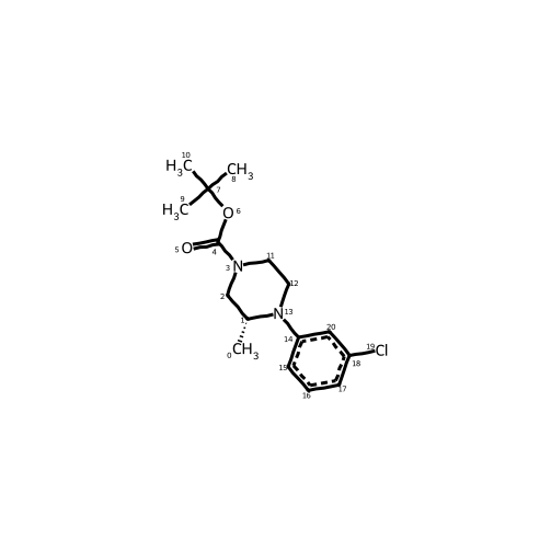 C[C@@H]1CN(C(=O)OC(C)(C)C)CCN1c1cccc(Cl)c1